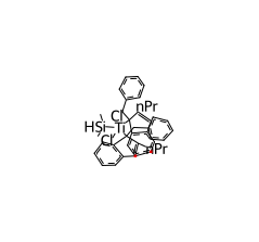 CCCC1=Cc2ccccc2[C]1(Cc1ccccc1)[Ti]([Cl])([Cl])([SiH](C)C)[C]1(Cc2ccccc2)C(CCC)=Cc2ccccc21